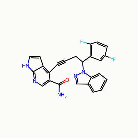 NC(=O)c1cnc2[nH]ccc2c1C#CCC(c1cc(F)ccc1F)n1ncc2ccccc21